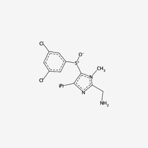 CC(C)c1nc(CN)n(C)c1[S+]([O-])c1cc(Cl)cc(Cl)c1